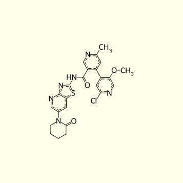 COc1cnc(Cl)cc1-c1cc(C)ncc1C(=O)Nc1nc2ncc(N3CCCCC3=O)cc2s1